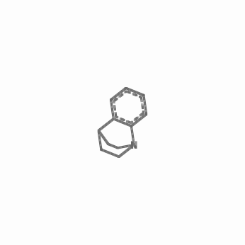 c1ccc2c(c1)C1CCN2CC1